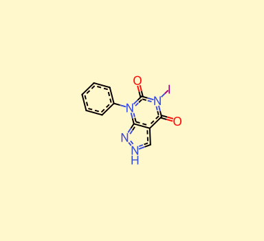 O=c1c2c[nH]nc2n(-c2ccccc2)c(=O)n1I